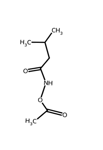 CC(=O)ONC(=O)CC(C)C